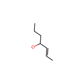 CC=CC([O])CCC